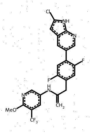 C=C(Cc1cc(F)c(-c2cnc3[nH]c(Cl)cc3c2)cc1F)Nc1cnc(OC)c(C(F)(F)F)c1